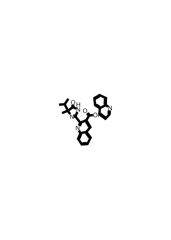 CC(C)C1(C)N=C(c2nc3ccccc3cc2C(=O)O)NC1=O.c1ccc2ncccc2c1